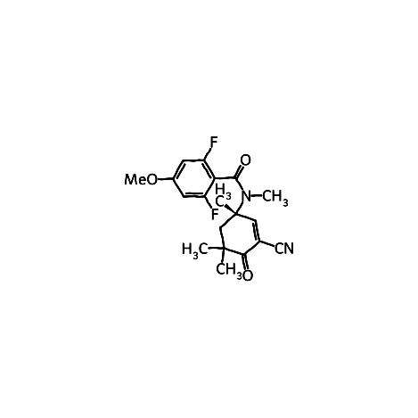 COc1cc(F)c(C(=O)N(C)[C@]2(C)C=C(C#N)C(=O)C(C)(C)C2)c(F)c1